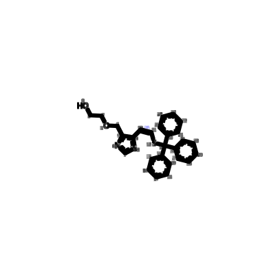 OCCOCc1ncsc1/C=C\SC(c1ccccc1)(c1ccccc1)c1ccccc1